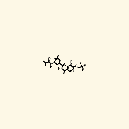 Cc1cc(C(=O)NC(C)c2cnc(OCC(F)(F)F)c(F)c2)cc(NC(=O)C(C)C)n1